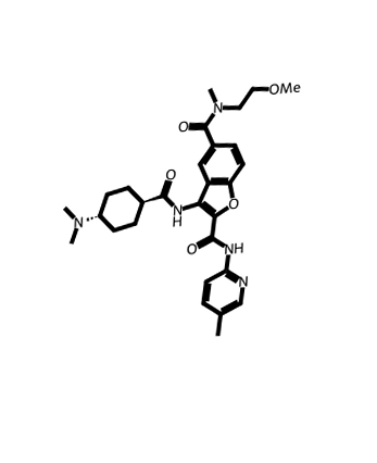 COCCN(C)C(=O)c1ccc2oc(C(=O)Nc3ccc(C)cn3)c(NC(=O)[C@H]3CC[C@H](N(C)C)CC3)c2c1